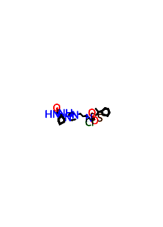 Cc1c(S(=O)(=O)N(Cl)CCCN2CCN(c3cccc4[nH]c(=O)[nH]c34)CC2)sc2ccccc12